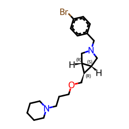 Brc1ccc(CN2C[C@@H]3[C@@H](COCCCN4CCCCC4)[C@@H]3C2)cc1